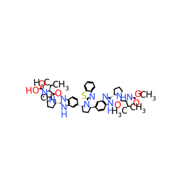 COC(=O)N[C@H](C(=O)N1CCC[C@H]1c1nc2cc([C@H]3CC[C@H](c4ccc5nc([C@@H]6CCCN6C(=O)[C@H](C(C)C)N(C)C(=O)O)[nH]c5c4)N3c3nc4ccccc4s3)ccc2[nH]1)C(C)C